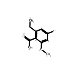 CCc1cc(F)cc(OC)c1C(=O)O